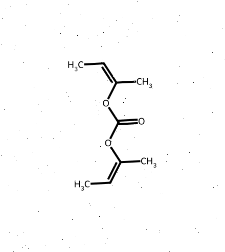 C/C=C(/C)OC(=O)O/C(C)=C\C